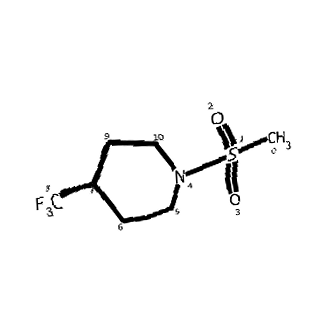 CS(=O)(=O)N1CCC(C(F)(F)F)CC1